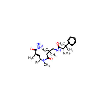 CN[C@H](C(=O)NCC(C)(C)CC(=O)N(C)[C@H](/C=C(\C)C(=O)NN)C(C)C)C(C)(C)c1ccccc1